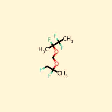 CC(F)(CF)OCOC(C)(F)C(C)(F)F